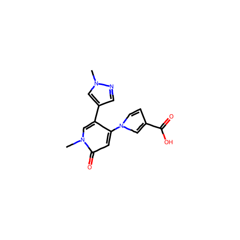 Cn1cc(-c2cn(C)c(=O)cc2-n2ccc(C(=O)O)c2)cn1